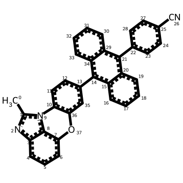 Cc1nc2cccc3c2n1-c1ccc(-c2c4ccccc4c(-c4ccc(C#N)cc4)c4ccccc24)cc1O3